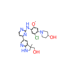 COc1cc(N2CCC(O)CC2)c(Cl)cc1Nc1nccc(-c2cnc3c(c2)C(C)(CO)CN3)n1